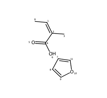 CC=C(C)C(=O)O.c1ccoc1